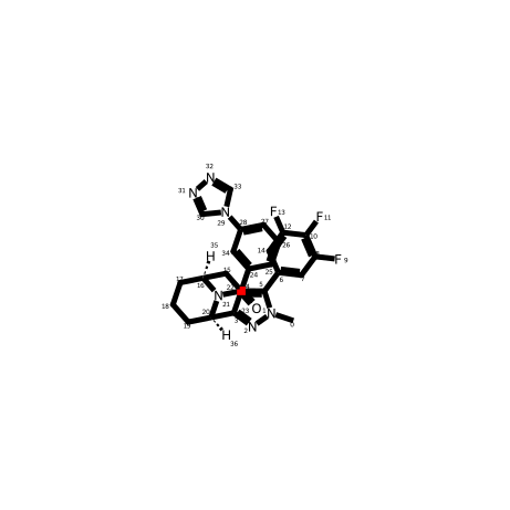 Cn1nc2c(c1-c1cc(F)c(F)c(F)c1)C[C@@H]1CCC[C@H]2N1C(=O)c1cccc(-n2cnnc2)c1